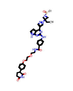 CC[S+]([O-])N1CC(CC#N)(n2cc(-c3nc(Nc4ccc(C(=O)NCCOCCOc5ccc(C6CCC(=O)NC6=O)cc5)cc4)nc4[nH]ccc34)cn2)C1